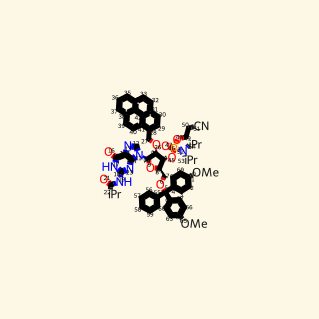 COc1ccc(C(OC[C@H]2O[C@@H](n3cnc4c(=O)[nH]c(NC(=O)C(C)C)nc43)[C@H](OCc3ccc4ccc5cccc6ccc3c4c56)[C@@H]2OP(=O)(OCCC#N)N(C(C)C)C(C)C)(c2ccccc2)c2ccc(OC)cc2)cc1